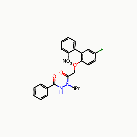 CC(C)N(NC(=O)c1ccccc1)C(=O)COc1ccc(F)cc1-c1ccccc1[N+](=O)[O-]